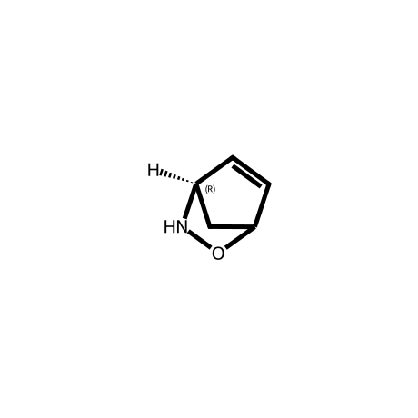 C1=C[C@H]2CC1ON2